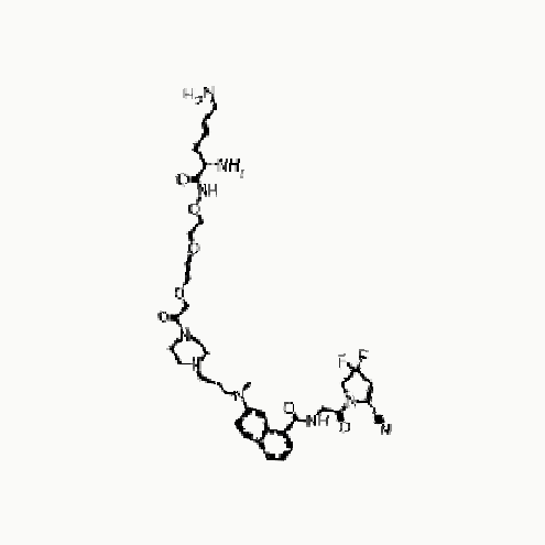 CN(CCCN1CCN(C(=O)COCCOCCONC(=O)[C@@H](N)CCCCN)CC1)c1ccc2cccc(C(=O)NCC(=O)N3CC(F)(F)C[C@H]3C#N)c2c1